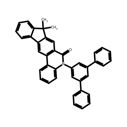 CC1(C)c2ccccc2-c2cc3c(cc21)c(=O)n(-c1cc(-c2ccccc2)cc(-c2ccccc2)c1)c1ccccc31